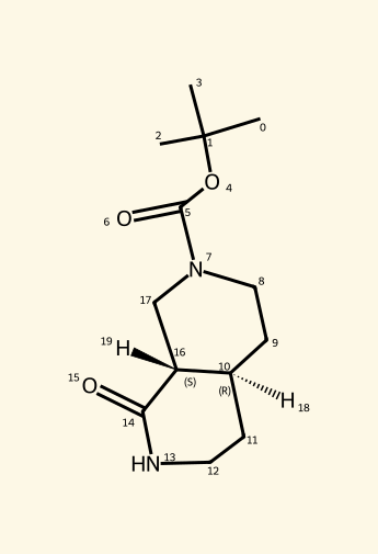 CC(C)(C)OC(=O)N1CC[C@H]2CCNC(=O)[C@@H]2C1